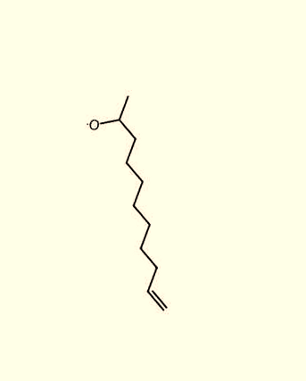 C=CCCCCCCCC(C)[O]